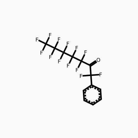 O=C(C(F)(F)c1ccccc1)C(F)(F)C(F)(F)C(F)(F)C(F)(F)C(F)(F)F